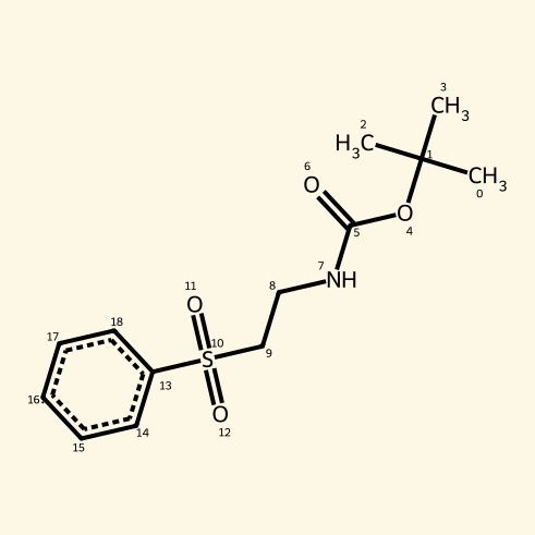 CC(C)(C)OC(=O)NCCS(=O)(=O)c1cc[c]cc1